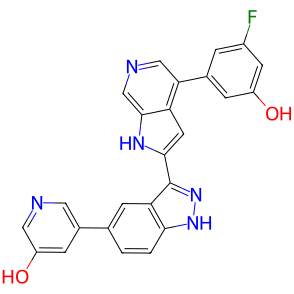 Oc1cncc(-c2ccc3[nH]nc(-c4cc5c(-c6cc(O)cc(F)c6)cncc5[nH]4)c3c2)c1